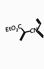 C=C(C#N)C(=O)OCC.C=CC=C